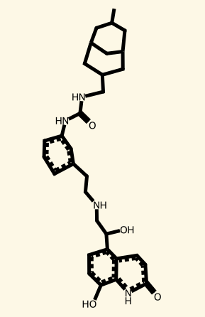 CC1CC2CC(CNC(=O)Nc3cccc(CCNCC(O)c4ccc(O)c5[nH]c(=O)ccc45)c3)CC(C1)C2